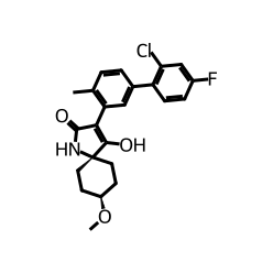 CO[C@H]1CC[C@@]2(CC1)NC(=O)C(c1cc(-c3ccc(F)cc3Cl)ccc1C)=C2O